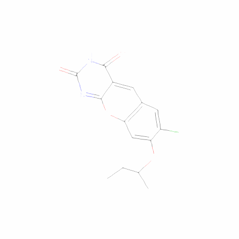 CCC(C)Oc1cc2oc3nc(=O)[nH]c(=O)c-3cc2cc1Cl